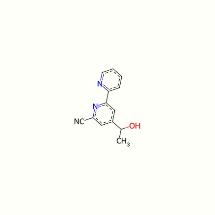 CC(O)c1cc(C#N)nc(-c2ccccn2)c1